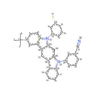 CC(C)(C)c1ccc2c(c1)c1cc3c4ccccc4n(-c4cccc(C#N)c4)c3cc1n2-c1cccc(F)c1